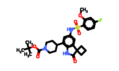 COc1cc(F)ccc1S(=O)(=O)Nc1cc(C2CCN(C(=O)OC(C)(C)C)CC2)c2c(c1)C1(CCC1)C(=O)N2